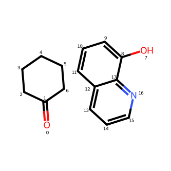 O=C1CCCCC1.Oc1cccc2cccnc12